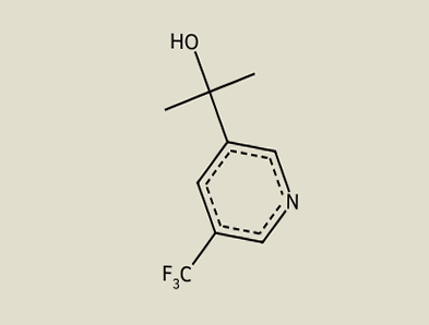 CC(C)(O)c1cncc(C(F)(F)F)c1